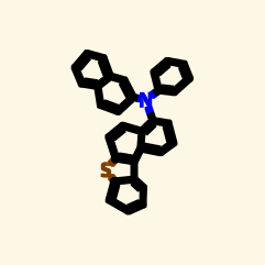 c1ccc(N(c2ccc3ccccc3c2)c2cccc3c2ccc2sc4ccccc4c23)cc1